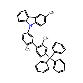 N#Cc1ccc2c(c1)c1ccccc1n2-c1ccc(C#N)c(-c2ccc([Si](c3ccccc3)(c3ccccc3)c3ccccc3)cc2C#N)c1